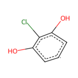 Oc1c[c]cc(O)c1Cl